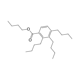 CCCCOC(=O)c1ccc(CCCC)c(CCCC)c1CCCC